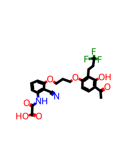 CC(=O)c1ccc(OCCCOc2cccc(NC(=O)C(=O)O)c2C#N)c(CCC(F)(F)F)c1O